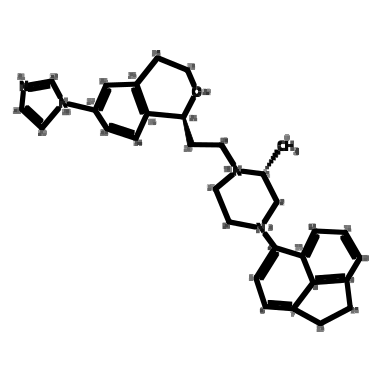 C[C@@H]1CN(c2ccc3c4c(cccc24)CC3)CCN1CC[C@@H]1OCCc2cc(-n3ccnc3)ccc21